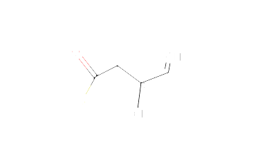 C=CC(C)CC(=O)S